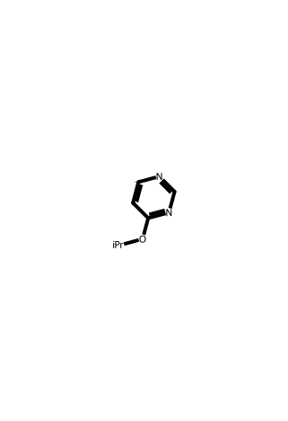 CC(C)Oc1c[c]ncn1